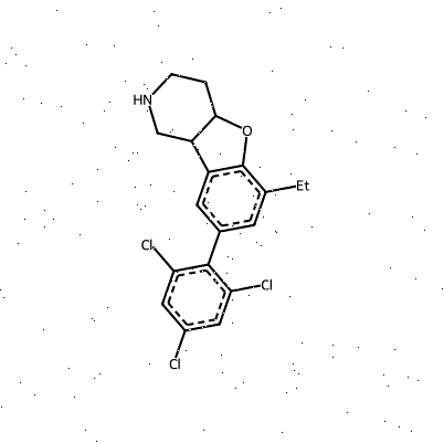 CCc1cc(-c2c(Cl)cc(Cl)cc2Cl)cc2c1OC1CCNCC21